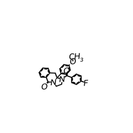 COc1ccc(C23Cc4ccccc4C(=O)N2CCN3C(=O)c2ccc(F)cc2)cc1